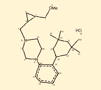 COCC1CC1CN1CCN(c2ccccc2C2CC(C)(C)CC(C)(C)C2)CC1.Cl